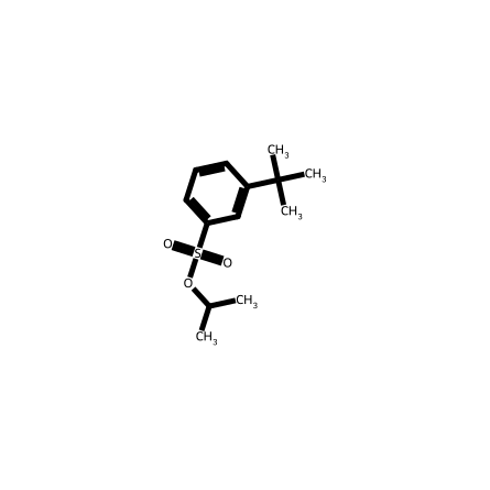 CC(C)OS(=O)(=O)c1cccc(C(C)(C)C)c1